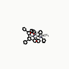 C=C/C(=C(\CC(N=C(/N=C(\NC)c1ccccc1)c1ccccc1)c1ccccc1)n1c2c(-c3ccccc3)cc(-c3ccccc3)cc2c2cc(-c3ccccc3)cc(-c3ccccc3)c21)c1ccccc1